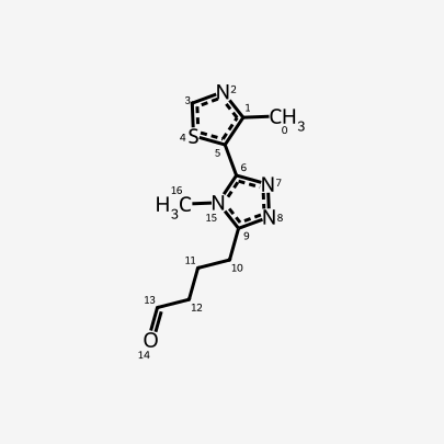 Cc1ncsc1-c1nnc(CCCC=O)n1C